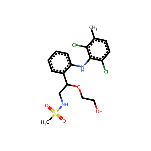 Cc1ccc(Cl)c(Nc2ccccc2C(CNS(C)(=O)=O)OCCO)c1Cl